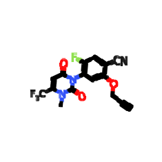 C#CCOc1cc(-n2c(=O)cc(C(F)(F)F)n(C)c2=O)c(F)cc1C#N